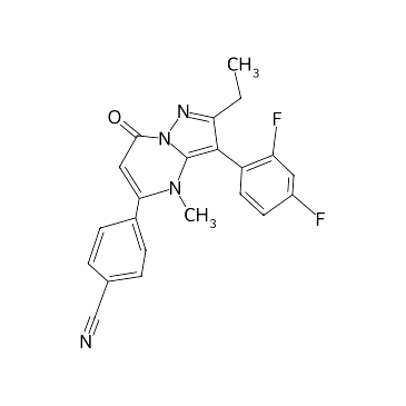 CCc1nn2c(=O)cc(-c3ccc(C#N)cc3)n(C)c2c1-c1ccc(F)cc1F